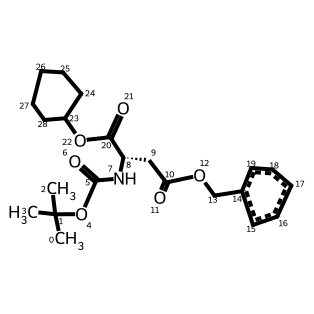 CC(C)(C)OC(=O)N[C@@H](CC(=O)OCc1ccccc1)C(=O)OC1CCCCC1